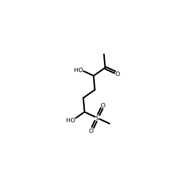 CC(=O)C(O)CCC(O)S(C)(=O)=O